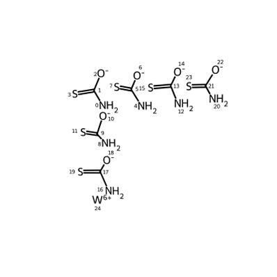 NC([O-])=S.NC([O-])=S.NC([O-])=S.NC([O-])=S.NC([O-])=S.NC([O-])=S.[W+6]